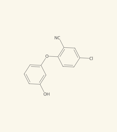 N#Cc1cc(Cl)ccc1Oc1cccc(O)c1